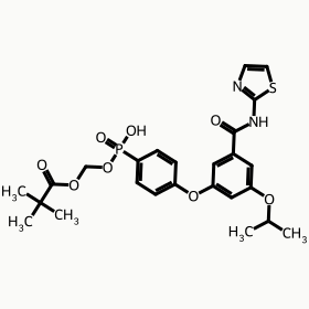 CC(C)Oc1cc(Oc2ccc(P(=O)(O)OCOC(=O)C(C)(C)C)cc2)cc(C(=O)Nc2nccs2)c1